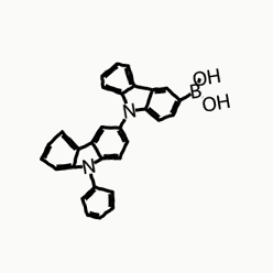 OB(O)c1ccc2c(c1)c1ccccc1n2-c1ccc2c(c1)c1ccccc1n2-c1ccccc1